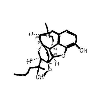 CCCC(C)(O)[C@H]1C[C@@]23C=C[C@]1(OC)[C@@H]1Oc4c(O)ccc5c4[C@@]12CCN(C)[C@@H]3C5